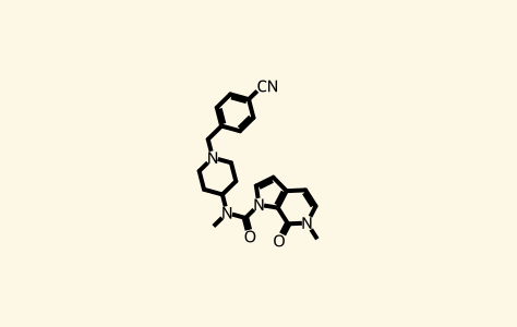 CN(C(=O)n1ccc2ccn(C)c(=O)c21)C1CCN(Cc2ccc(C#N)cc2)CC1